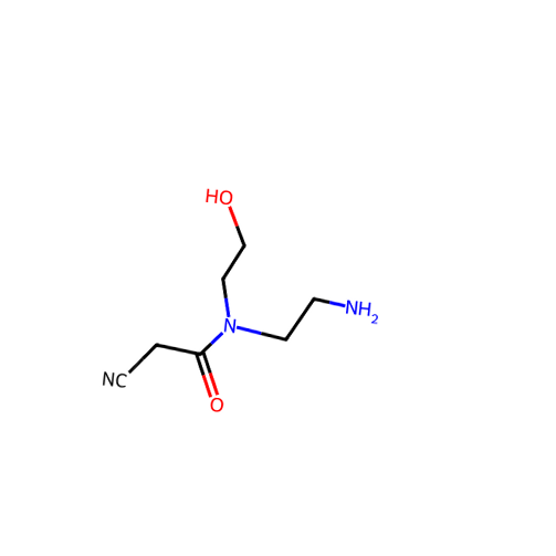 N#CCC(=O)N(CCN)CCO